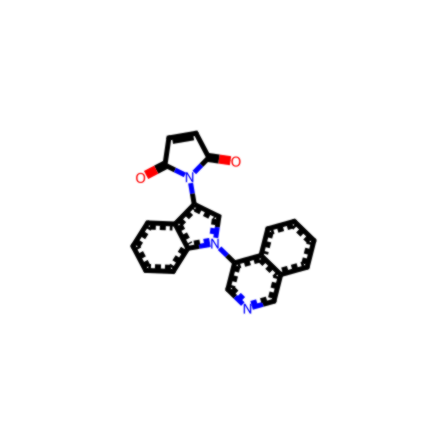 O=C1C=CC(=O)N1c1cn(-c2cncc3ccccc23)c2ccccc12